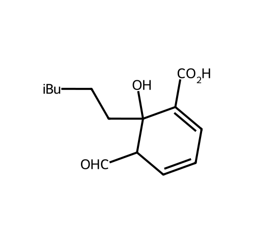 CCC(C)CCC1(O)C(C(=O)O)=CC=CC1C=O